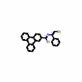 CC/C=C(/N=C(\CC)c1ccc2c3ccccc3c3ccccc3c2c1)c1ccccc1